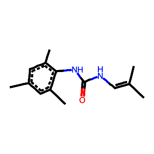 CC(C)=CNC(=O)Nc1c(C)cc(C)cc1C